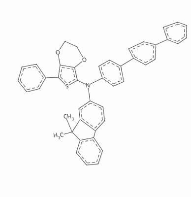 CC1(C)c2ccccc2-c2ccc(N(c3ccc(-c4ccc(-c5ccccc5)cc4)cc3)c3sc(-c4ccccc4)c4c3OCCO4)cc21